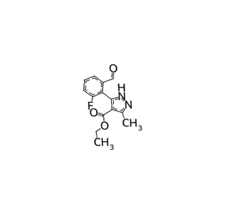 CCOC(=O)c1c(C)n[nH]c1-c1c(F)cccc1C=O